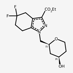 CCOC(=O)c1nn(C[C@@H]2C[C@H](O)CCO2)c2c1CC(F)(F)CC2